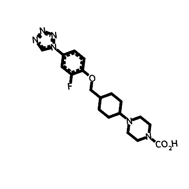 O=C(O)N1CCN(C2CCC(COc3ccc(-n4cnnn4)cc3F)CC2)CC1